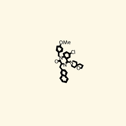 COc1ccc(CN2C(=O)C(Cc3ccc4ccccc4c3)N=C(N3CCC4(CCCO4)CC3)c3cc(Cl)ccc32)cc1